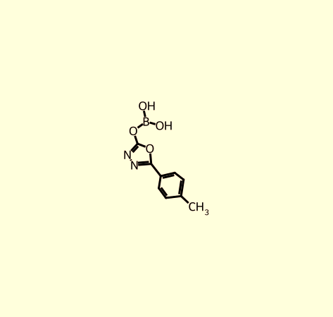 Cc1ccc(-c2nnc(OB(O)O)o2)cc1